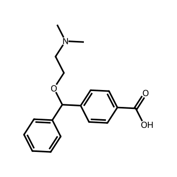 CN(C)CCOC(c1ccccc1)c1ccc(C(=O)O)cc1